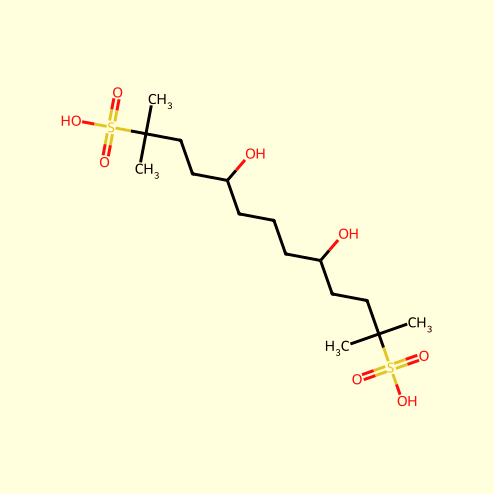 CC(C)(CCC(O)CCCC(O)CCC(C)(C)S(=O)(=O)O)S(=O)(=O)O